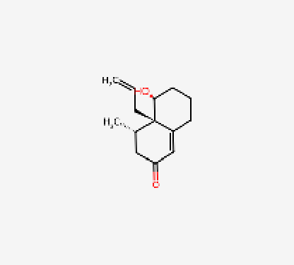 C=CC[C@@]12C(=CC(=O)C[C@@H]1C)CCC[C@@H]2O